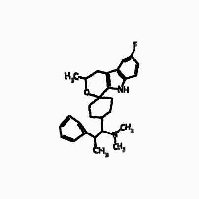 CC1Cc2c([nH]c3ccc(F)cc23)C2(CCC(C(C(C)c3ccccc3)N(C)C)CC2)O1